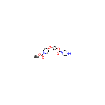 CC(C)(C)OC(=O)N1CCC(O[C@H]2C[C@H](OC(=O)N3CCNCC3)C2)CC1